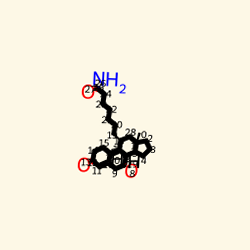 C[C@@]12CCC[C@H]1[C@@H]1C(=O)CC3=CC(=O)CCC3=C1[C@@H](CCCCCCC(N)=O)C2